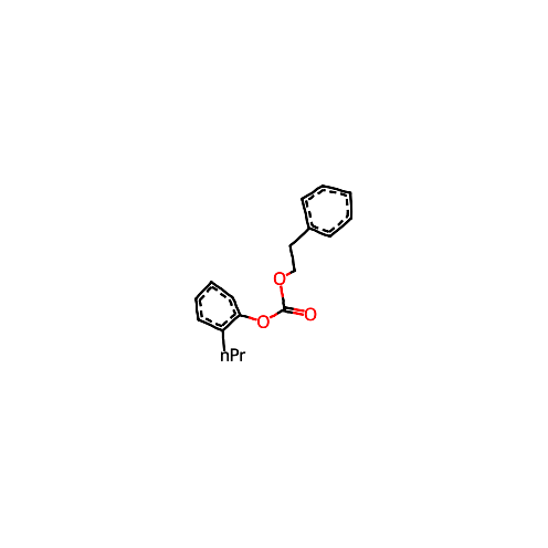 CCCc1ccccc1OC(=O)OCCc1ccccc1